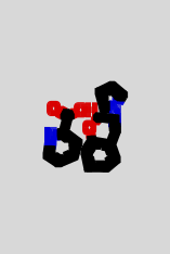 C1=Cc2ccccc2OC1.O=C(O)c1ccccn1.c1cc[nH]c1